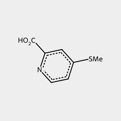 CSc1ccnc(C(=O)O)c1